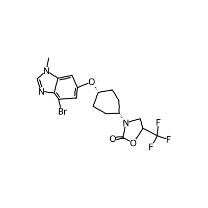 Cn1cnc2c(Br)cc(O[C@H]3CC[C@@H](N4CC(C(F)(F)F)OC4=O)CC3)cc21